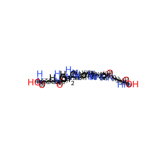 C=C(/C=C\C(=C/C)NCCCN(CC1C=CC(Cn2cc(CNc3ccc(C(=O)NCCCCCCC(=O)NO)cc3)nn2)=CC1)/N=N\C)C(=O)NCCCCCCC(=O)NO